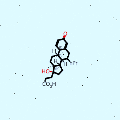 CCCC1CC2=CC(=O)C=C[C@]2(C)[C@H]2CC[C@@]3(C)[C@@H](CC[C@]3(O)CCC(=O)O)[C@H]12